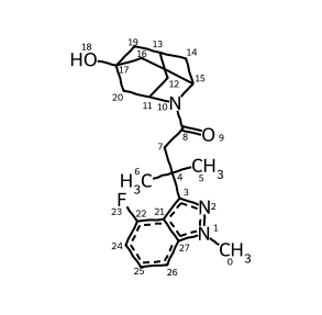 Cn1nc(C(C)(C)CC(=O)N2C3CC4CC2CC(O)(C4)C3)c2c(F)cccc21